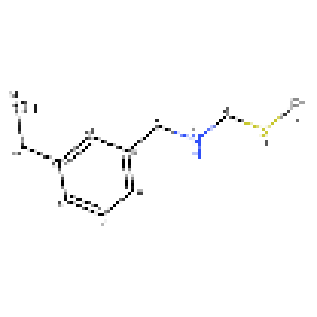 CCSCNCc1cccc(CC(C)(C)C)c1